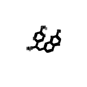 CCc1cnc2ccc(CC(C)c3cnc(C)cn3)cc2n1